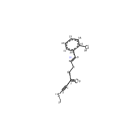 O=C(C#CSI)CC/C=C/c1ccccc1Cl